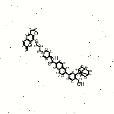 C=C1C=Cc2cc3ccoc3c(OCCC[n+]3ccc(NC(=O)c4ccc5cc(-c6ccc(CO)c(C7C8CC9CC(C8)CC7C9)c6)ccc5c4)cc3)c2O1